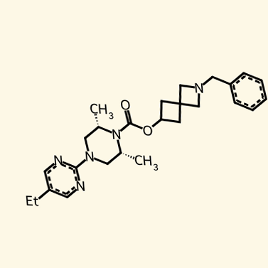 CCc1cnc(N2C[C@@H](C)N(C(=O)OC3CC4(C3)CN(Cc3ccccc3)C4)[C@@H](C)C2)nc1